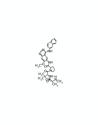 CNC(C)C(=O)NC(C(=O)N1CCCC1C(=O)Nc1cc2c(Nc3ccc4ccccc4c3)ncnc2cc1OC)C(C)(C)C